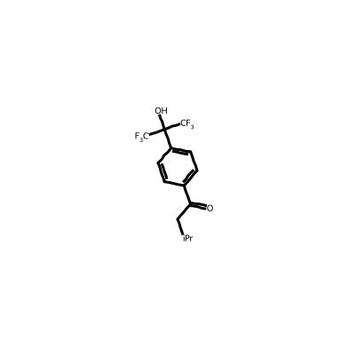 CC(C)CC(=O)c1ccc(C(O)(C(F)(F)F)C(F)(F)F)cc1